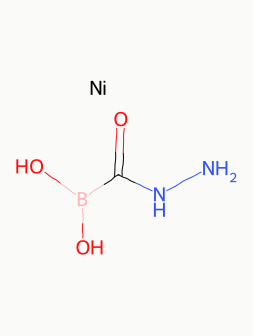 NNC(=O)B(O)O.[Ni]